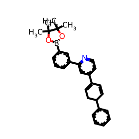 CC1(C)OB(c2cccc(-c3cc(C4=CCC(c5ccccc5)C=C4)ccn3)c2)OC1(C)C